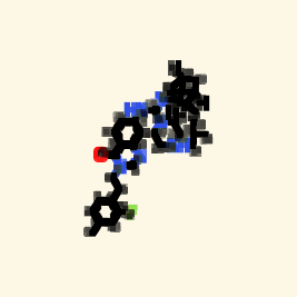 Cc1ccc(CCn2cnc3cc(N/C(=N/[C@H]4C[C@@H]5C[C@H]([C@@H]4C)C5(C)C)N4CCN[C@@H](C(C)(C)C)C4)ccc3c2=O)c(F)c1